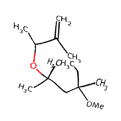 C=C(C)C(C)OC(C)(C)CC(C)(C)OC